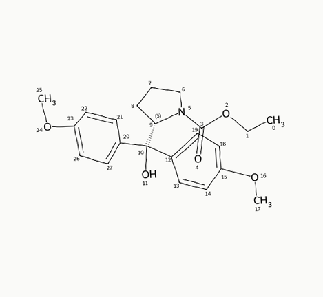 CCOC(=O)N1CCC[C@H]1C(O)(c1ccc(OC)cc1)c1ccc(OC)cc1